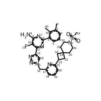 Cc1cccc(-c2nc(N)c(F)c(-c3cn(Cc4cccc(C5CC6(CCN(S(C)(=O)=O)CC6)C5)n4)nn3)n2)c1C